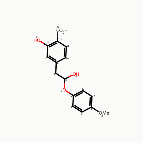 COc1ccc(OC(O)Cc2ccc(C(=O)O)c(O)c2)cc1